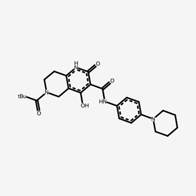 CC(C)(C)C(=O)N1CCc2[nH]c(=O)c(C(=O)Nc3ccc(N4CCCCC4)cc3)c(O)c2C1